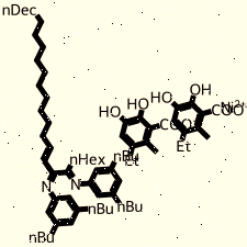 CCCCCCCCCCCCCCCCCCCCC=CC(=Nc1cc(CCCC)cc(CCCC)c1)C(CCCCCC)=Nc1cc(CCCC)cc(CCCC)c1.CCc1cc(O)c(O)c(C(=O)[O-])c1C.CCc1cc(O)c(O)c(C(=O)[O-])c1C.[Ni+2]